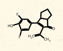 C=C(C)C1=C(c2cc(F)c(O)c(F)c2)C2CCCC2C1=O